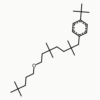 CC(C)(C)CCCOCCC(C)(C)CCC(C)(C)Cc1ccc(C(C)(C)C)cc1